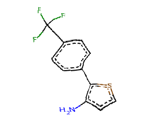 Nc1ccsc1-c1ccc(C(F)(F)F)cc1